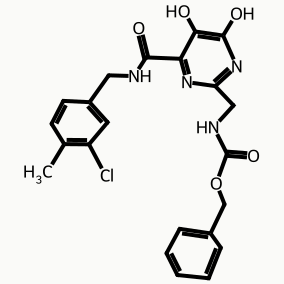 Cc1ccc(CNC(=O)c2nc(CNC(=O)OCc3ccccc3)nc(O)c2O)cc1Cl